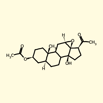 CC(=O)O[C@H]1CC[C@]2(C)C3C[C@H]4O[C@]45[C@@H](C(C)=O)CC[C@]5(O)C3CC[C@H]2C1